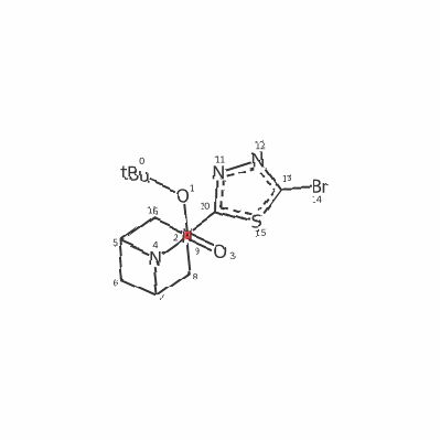 CC(C)(C)OC(=O)N1C2CC1CN(c1nnc(Br)s1)C2